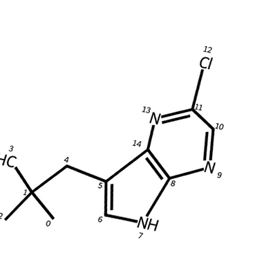 CC(C)(C=O)Cc1c[nH]c2ncc(Cl)nc12